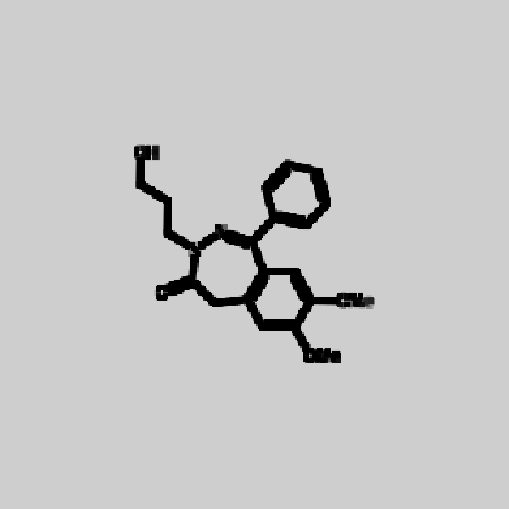 COc1cc2c(cc1OC)C(c1ccccc1)=NN(CCCO)C(=O)C2